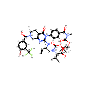 C=C[C@H](C)Nc1nc2c(c(=O)n1-c1ccc(C(=O)N(C)C(=O)O[C@H](C)OC(=O)[C@@H](NC(=O)OC(C)(C)C)C(C)C)cc1)C[C@@H](C)N(C(=O)c1ccc(Br)c(C(F)(F)F)c1)C2